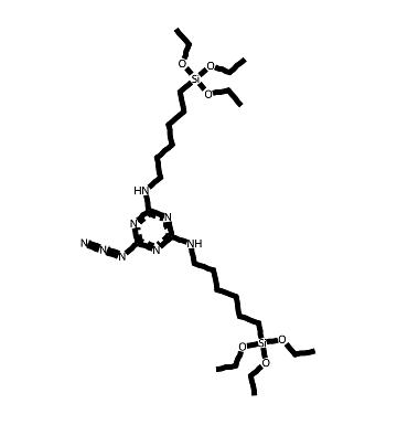 CCO[Si](CCCCCCNc1nc(N=[N+]=[N-])nc(NCCCCCC[Si](OCC)(OCC)OCC)n1)(OCC)OCC